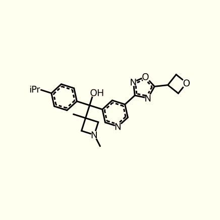 CC(C)c1ccc(C(O)(c2cncc(-c3noc(C4COC4)n3)c2)C2(C)CN(C)C2)cc1